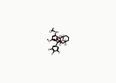 COc1cc(NC(C)=O)cc(C(=O)N2[C@@H]3CCC[C@H]2c2nn(C)c(-c4cc(F)c(F)c(F)c4)c2C3)c1